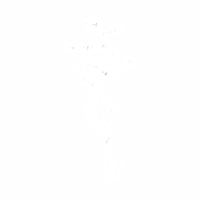 CNC(=O)NC(C)(C(F)F)[C@H](NC(=O)c1ccc(C#Cc2cccs2)cc1)C(=O)NO